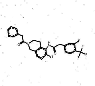 O=C(Cc1ccc(C(F)(F)F)c(F)c1)Nc1c(Cl)ccc2c1CCN(C(=O)Cc1ccccc1)C2